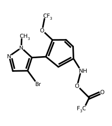 Cn1ncc(Br)c1-c1cc(NOC(=O)C(F)(F)F)ccc1OC(F)(F)F